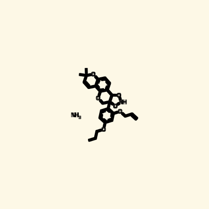 C=CCOc1cc(OCCC)ccc1C12COc3c(ccc4c3C=CC(C)(C)O4)C1ONO2.N